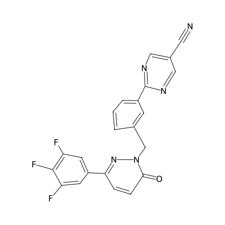 N#Cc1cnc(-c2cccc(Cn3nc(-c4cc(F)c(F)c(F)c4)ccc3=O)c2)nc1